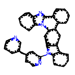 c1cncc(-c2ccnc(-n3c4ccccc4c4cc5c6ccccc6c6nc7ccccc7n6c5cc43)c2)c1